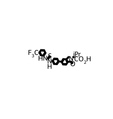 CC(C)[C@@H](C(=O)O)N1Cc2cc(-c3ccc(NC(=S)Nc4cccc(C(F)(F)F)c4)cc3)ccc2C1=O